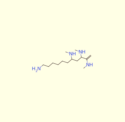 C=C(NC)C(CC(CCCCCCN)NC)NC